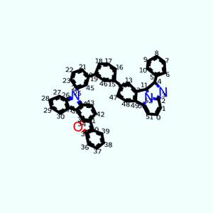 C1=CC2=NC(c3ccccc3)C3c4cc(-c5cccc(-c6cccc(-n7c8ccccc8c8c9oc%10ccccc%10c9ccc87)c6)c5)ccc4C(=C1)N23